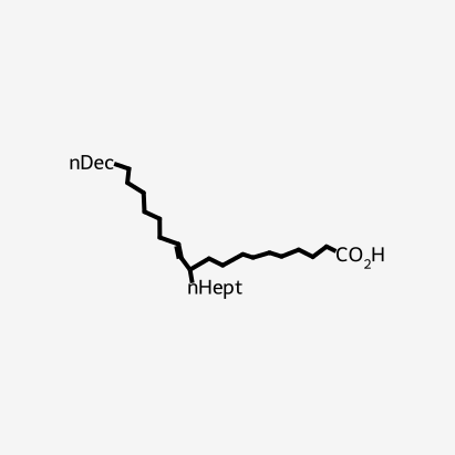 CCCCCCCCCCCCCCCCC=CC(CCCCCCC)CCCCCCCCCC(=O)O